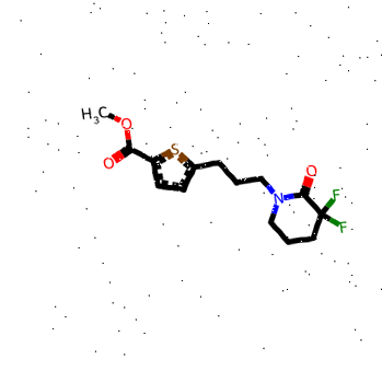 COC(=O)c1ccc(CCCN2CCCC(F)(F)C2=O)s1